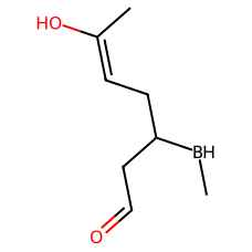 CBC(CC=O)C/C=C(\C)O